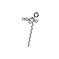 CCCCCCCCCCCCCC(=O)N(CC(=O)O)c1ccccc1